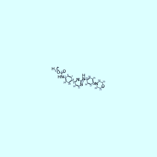 COC(=O)Nc1ccc(-c2ccnc(Nc3ccc(N4CCOCC4)cc3)n2)cc1